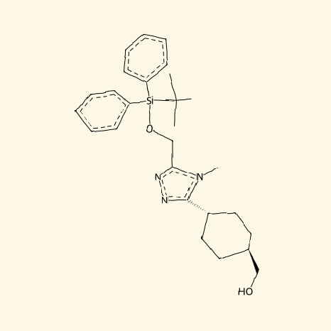 Cn1c(CO[Si](c2ccccc2)(c2ccccc2)C(C)(C)C)nnc1[C@H]1CC[C@H](CO)CC1